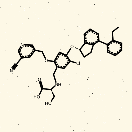 CCc1ccccc1-c1cccc2c1CC[C@@H]2Oc1cc(OCc2cncc(C#N)c2)c(CN[C@@H](CO)C(=O)O)cc1Cl